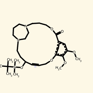 COc1cc2cc(c1OC)OC/C=C\C(O[Si](C)(C)C(C)(C)C)CCN1CCCN(CCCOC2=O)CC1